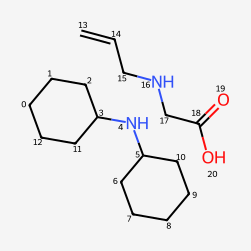 C1CCC(NC2CCCCC2)CC1.C=CCNCC(=O)O